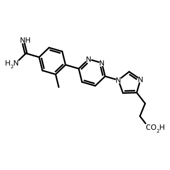 Cc1cc(C(=N)N)ccc1-c1ccc(-n2cnc(CCC(=O)O)c2)nn1